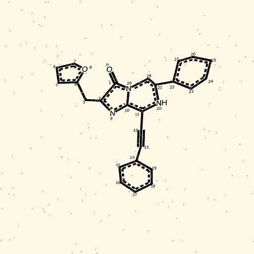 O=c1c(Cc2ccco2)nc2c(C#Cc3ccccc3)[nH]c(-c3ccccc3)cn1-2